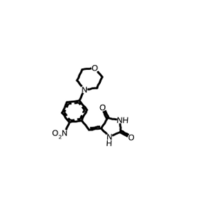 O=C1NC(=O)/C(=C\c2cc(N3CCOCC3)ccc2[N+](=O)[O-])N1